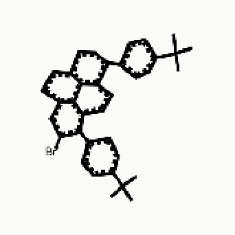 CC(C)(C)c1ccc(-c2ccc3ccc4cc(Br)c(-c5ccc(C(C)(C)C)cc5)c5ccc2c3c45)cc1